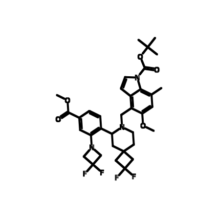 COC(=O)c1ccc(C2CC3(CCN2Cc2c(OC)cc(C)c4c2ccn4C(=O)OC(C)(C)C)CC(F)(F)C3)c(N2CC(F)(F)C2)c1